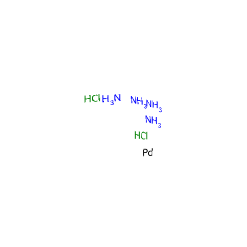 Cl.Cl.N.N.N.N.[Pd]